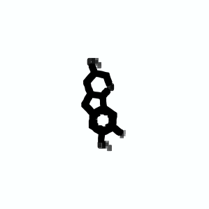 Cc1cc2c(cc1F)C1OCC(C)CC1C2